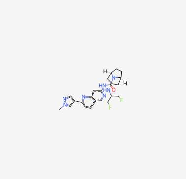 Cn1cc(-c2ccc3cnc(NC(=O)N4[C@@H]5CC[C@H]4C[C@H](NC(CF)CF)C5)cc3n2)cn1